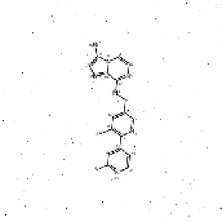 Cc1cc(-c2ncc(CNc3nccn4c(Br)cnc34)cc2F)ccn1